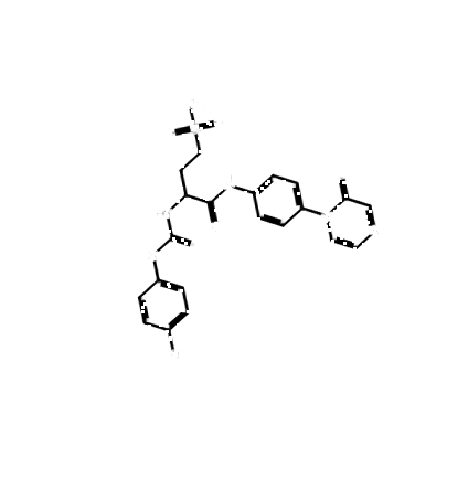 CS(=O)(=O)CCC(NC(=O)Nc1ccc(Cl)cc1)C(=O)Nc1ccc(-n2ccncc2=O)cc1